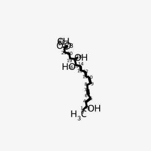 CCC(O)/C=C/C#CC\C=C/C=C/C=C/C(O)C(O)CCCC(=O)OC